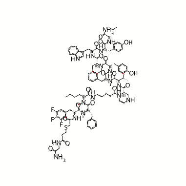 CCCC[C@@H](C(=O)NCCCCC(=O)N1CCNC[C@H]1C(=O)N[C@H](C(=O)N(C)[C@@H](Cc1ccccc1)C(=O)N[C@@H](Cc1ccc(O)cc1)C(=O)N1CCCC[C@@H]1C(=O)N[C@@H](Cc1c[nH]c2ccccc12)C(=O)N[C@@H](Cc1ccc(O)cc1)C(=O)N[C@@H](CC(C)C)C(N)=O)C(C)C)N(C)C(=O)[C@H](Cc1ccccc1)N(C)C(=O)[C@H](Cc1cc(F)c(F)c(F)c1)NC(=O)CSCCC(=O)NCC(N)=O